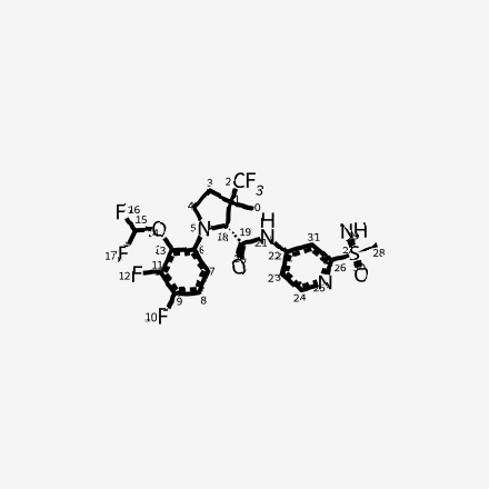 CC1(C(F)(F)F)CCN(c2ccc(F)c(F)c2OC(F)F)[C@H]1C(=O)Nc1ccnc([S@](C)(=N)=O)c1